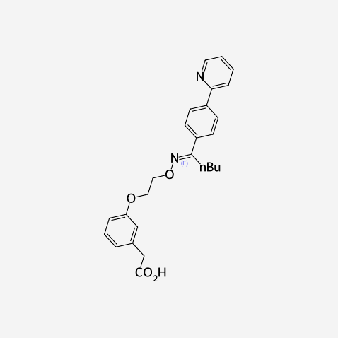 CCCC/C(=N\OCCOc1cccc(CC(=O)O)c1)c1ccc(-c2ccccn2)cc1